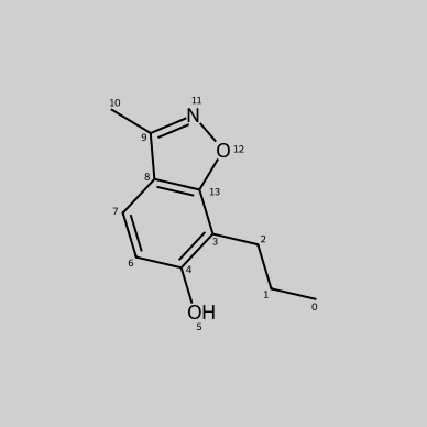 CCCc1c(O)ccc2c(C)noc12